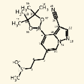 C[S+]([O-])CCCc1cc(B2OC(C)(C)C(C)(C)O2)c2c(C#N)cnn2c1